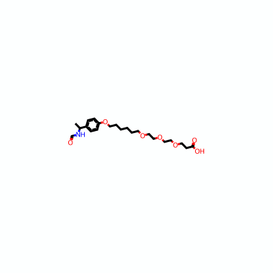 CC(NC=O)c1ccc(OCCCCCCOCCOCCOCCC(=O)O)cc1